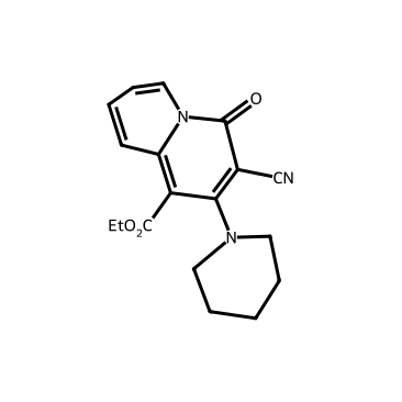 CCOC(=O)c1c(N2CCCCC2)c(C#N)c(=O)n2ccccc12